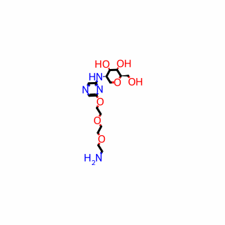 NCCOCCOCCOc1cncc(N[C@H]2CO[C@H](CO)[C@H](O)[C@@H]2O)n1